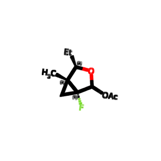 CC[C@H]1OC(OC(C)=O)[C@@]2(F)C[C@]12C